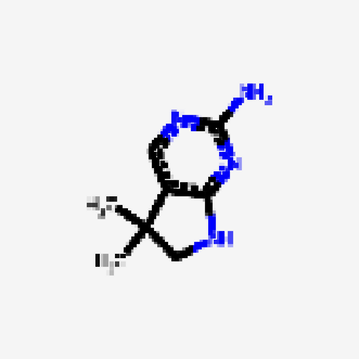 CC1(C)CNc2nc(N)ncc21